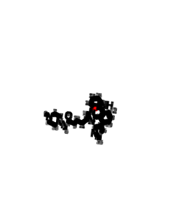 CN1CCN(N(C)C(=O)CCCc2cn(-c3ccccc3)c(-c3c(C(N)=O)cccc3-c3cnn(C)c3)n2)CC1